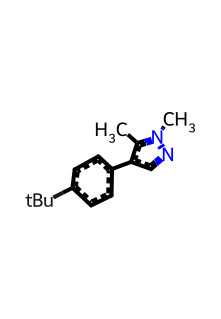 Cc1c(-c2ccc(C(C)(C)C)cc2)cnn1C